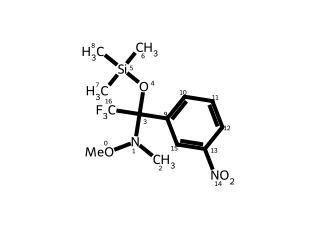 CON(C)C(O[Si](C)(C)C)(c1cccc([N+](=O)[O-])c1)C(F)(F)F